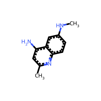 CNc1ccc2nc(C)cc(N)c2c1